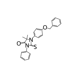 CC1(C)C(=O)N(c2ccccc2)C(=S)N1c1ccc(OCc2ccccc2)cc1